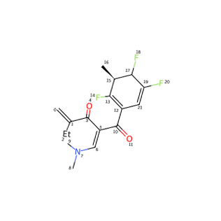 C=C(CC)C(=O)/C(=C\N(C)C)C(=O)C1=C(F)[C@@H](C)C(F)C(F)=C1